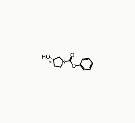 O=C(Oc1ccccc1)N1CC[C@H](O)C1